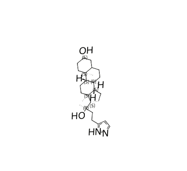 C[C@]12CC[C@H]3[C@@H](CCC4C[C@@H](O)CC[C@@]43C)[C@@H]1CC[C@@H]2[C@](C)(O)CCc1ccn[nH]1